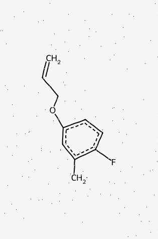 [CH2]c1cc(OCC=C)ccc1F